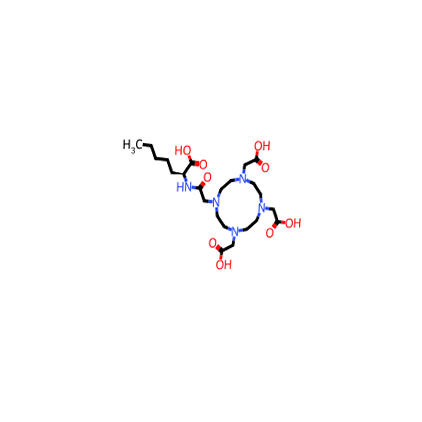 CCCCC[C@H](NC(=O)CN1CCN(CC(=O)O)CCN(CC(=O)O)CCN(CC(=O)O)CC1)C(=O)O